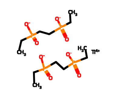 CCP(=O)([O-])CCP(=O)([O-])CC.CCP(=O)([O-])CCP(=O)([O-])CC.[Ti+4]